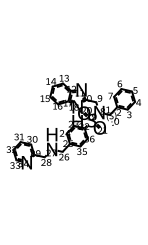 C[C@@H](c1ccccc1)N(Cc1nc2ccccc2[nH]1)S(=O)(=O)c1ccc(CNCc2ccccn2)cc1